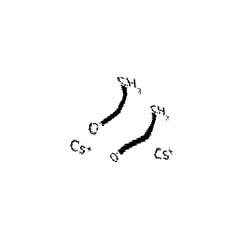 CC[O-].CC[O-].[Cs+].[Cs+]